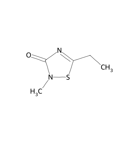 CCc1nc(=O)n(C)s1